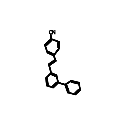 N#Cc1ccc(C=Cc2cccc(-c3ccccc3)c2)cc1